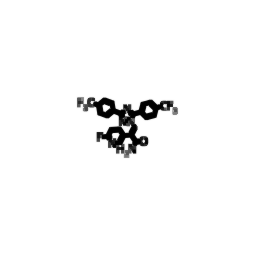 NC(=O)C(=Cn1nc(-c2ccc(C(F)(F)F)cc2)nc1-c1ccc(C(F)(F)F)cc1)c1ccc(F)nc1